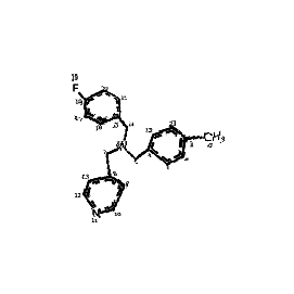 Cc1ccc(CN(Cc2ccncc2)Cc2ccc(F)cc2)cc1